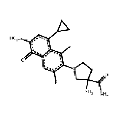 Cc1c(N2CCC(N)(C(N)=O)C2)c(F)cn2c(=O)c(C(=O)O)cc(C3CC3)c12